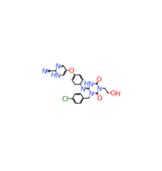 N#CC1N=CC(OC2=CCC(/N=c3\[nH]c(=O)n(CCO)c(=O)n3Cc3ccc(Cl)cc3)C=C2)=CN1